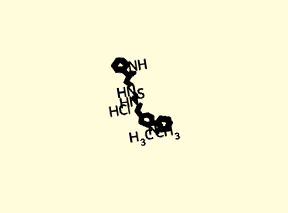 CN(C)C1(c2ccccc2)CCC(CCNC(=S)NCCc2c[nH]c3ccccc23)CC1.Cl